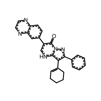 O=c1c(-c2ccc3nccnc3c2)c[nH]c2c(C3=CCCCC3)c(-c3ccccc3)nn12